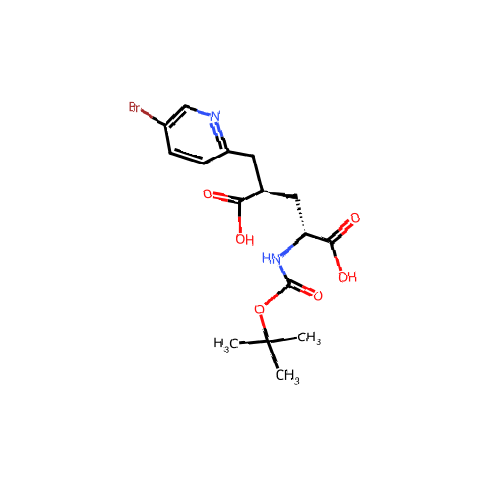 CC(C)(C)OC(=O)N[C@H](C[C@H](Cc1ccc(Br)cn1)C(=O)O)C(=O)O